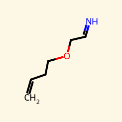 C=CCCOCC=N